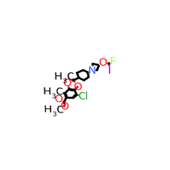 COC(=O)c1cc(Cl)c2c(c1C)OC(C)(C1CCC(N3CC(OC(F)I)C3)CC1)O2